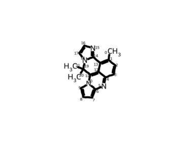 Cc1ccc2nc3cccn3c3c2c1-c1nccn1C3(C)C